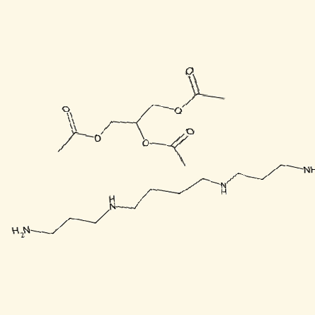 CC(=O)OCC(COC(C)=O)OC(C)=O.NCCCNCCCCNCCCN